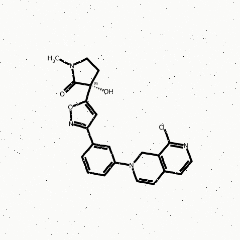 CN1CC[C@@](O)(c2cc(-c3cccc(N4C=Cc5ccnc(Cl)c5C4)c3)no2)C1=O